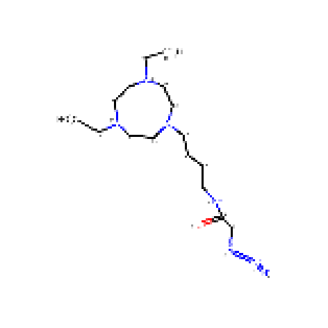 [N-]=[N+]=NCC(=O)NCCCCN1CCN(CC(=O)O)CCN(CC(=O)O)CC1